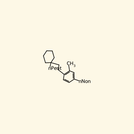 CCCCCCCCCc1ccc(CCC2(CCCCC)CCCCC2)c(C)c1